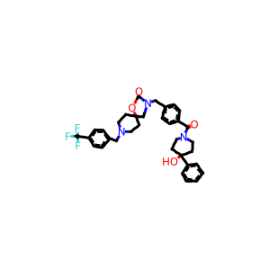 O=C1OC2(CCN(Cc3ccc(C(F)(F)F)cc3)CC2)CN1Cc1ccc(C(=O)N2CCC(O)(c3ccccc3)CC2)cc1